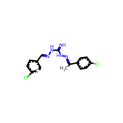 C/C(=N\NC(=N)N/N=C/c1ccc(Cl)cc1)c1ccc(Cl)cc1